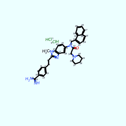 Cl.Cl.Cn1c(CCc2ccc(C(=N)N)cc2)nc2cc(N(Cc3cccc4ccccc34)C(=O)CN3CCCCC3)ccc21